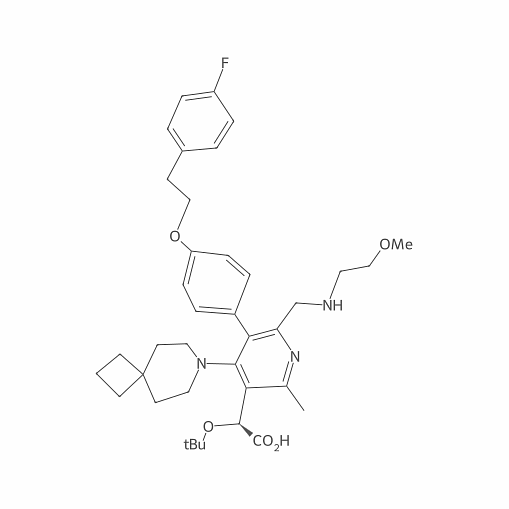 COCCNCc1nc(C)c([C@H](OC(C)(C)C)C(=O)O)c(N2CCC3(CCC3)CC2)c1-c1ccc(OCCc2ccc(F)cc2)cc1